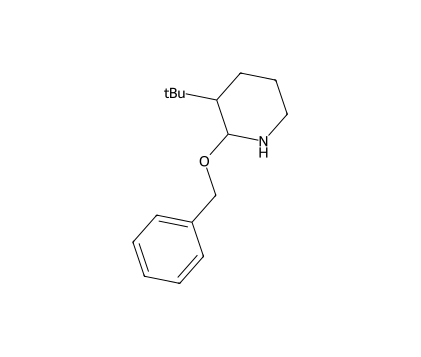 CC(C)(C)C1CCCNC1OCc1ccccc1